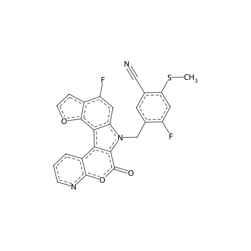 CSc1cc(F)c(Cn2c3cc(F)c4ccoc4c3c3c4cccnc4oc(=O)c32)cc1C#N